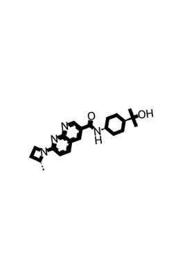 C[C@@H]1CCN1c1ccc2cc(C(=O)N[C@H]3CC[C@H](C(C)(C)O)CC3)cnc2n1